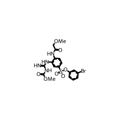 COCC(=O)Nc1ccc(S(=O)(=O)Oc2cccc(Br)c2)cc1NC(=N)NC(=O)OC